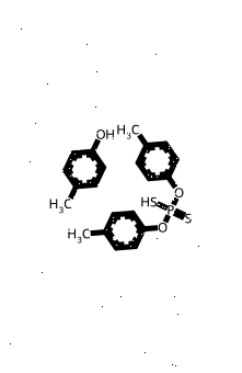 Cc1ccc(O)cc1.Cc1ccc(OP(=S)(S)Oc2ccc(C)cc2)cc1